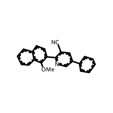 COc1c(-c2ncc(-c3ccccc3)cc2C#N)ccc2ccccc12